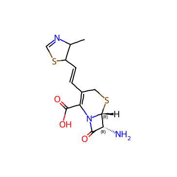 CC1N=CSC1C=CC1=C(C(=O)O)N2C(=O)[C@@H](N)[C@H]2SC1